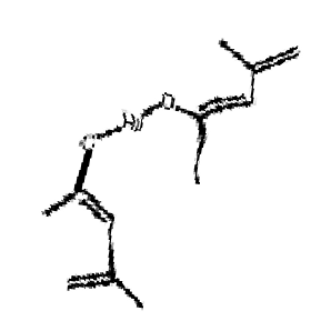 C=C(C)C=C(C)[O][Ru][O]C(C)=CC(=C)C